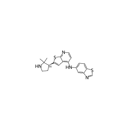 CC1(C)NCC[C@@H]1c1cc2c(Nc3ccc4scnc4c3)ccnc2s1